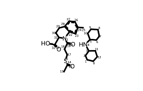 C1CCC(NC2CCCCC2)CC1.CC(=O)SCCC(=O)N1c2cc(C)ccc2CCC1C(=O)O